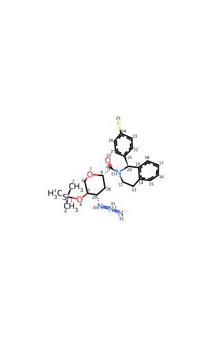 C[Si](C)(C)O[C@H]1CO[C@H](C(=O)N2CCc3ccccc3[C@@H]2c2ccc(F)cc2)C[C@@H]1N=[N+]=[N-]